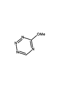 COc1ncnnn1